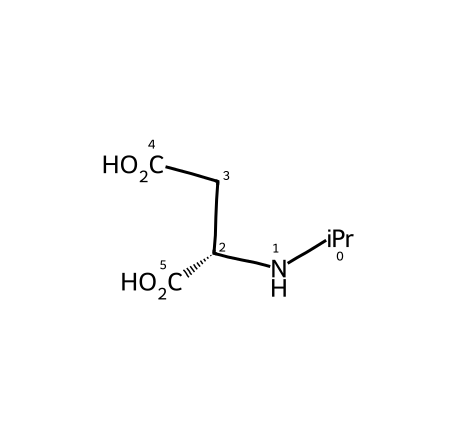 CC(C)N[C@@H](CC(=O)O)C(=O)O